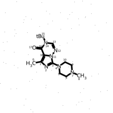 Cc1nc(N2CCN(C)CC2)n2ncn(C(C)(C)C)c(=O)c12